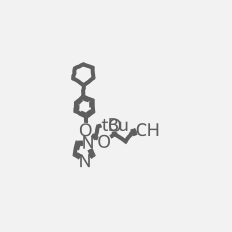 C#CCC(=O)OC(CC(C)(C)C)(Oc1ccc(C2CCCCC2)cc1)n1ccnc1